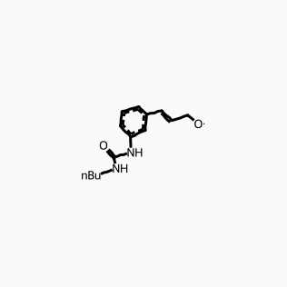 CCCCNC(=O)Nc1cccc(C=CC[O])c1